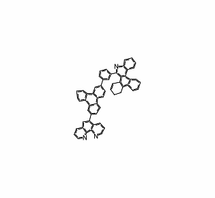 C1=Cc2c(c3ccccc3c3c2c(-c2cccc(-c4ccc5c6ccc(-c7cc8cccnc8c8ncccc78)cc6c6ccccc6c5c4)c2)nc2ccccc23)CC1